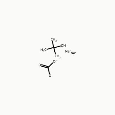 CC(C)(C)O.O=C([O-])[O-].[Na+].[Na+]